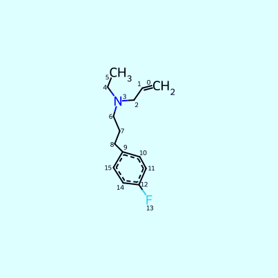 C=CCN(CC)CCCc1ccc(F)cc1